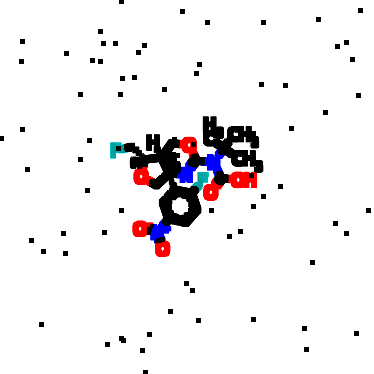 CC(C)(C)N(C(=O)O)C1=N[C@@]2(c3cc([N+](=O)[O-])ccc3F)CO[C@H](CF)[C@H]2CO1